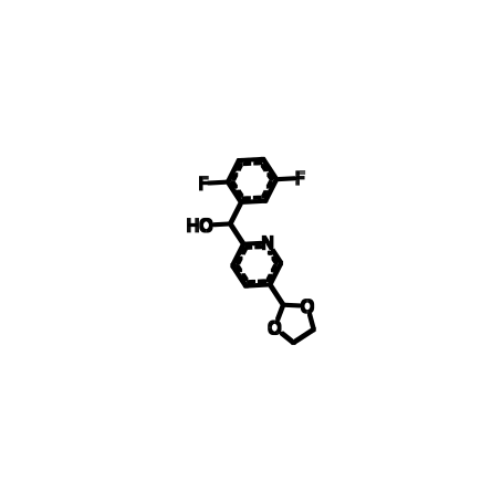 OC(c1ccc(C2OCCO2)cn1)c1cc(F)ccc1F